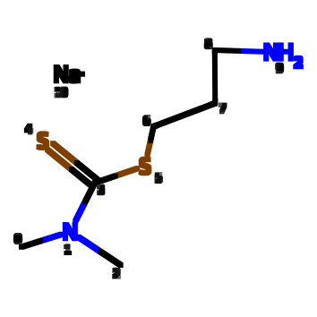 CN(C)C(=S)SCCCN.[Na]